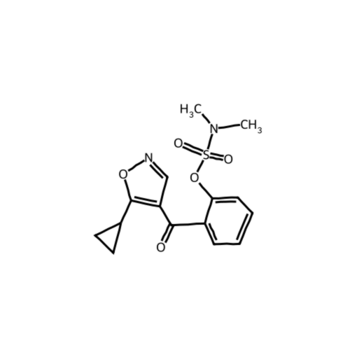 CN(C)S(=O)(=O)Oc1ccccc1C(=O)c1cnoc1C1CC1